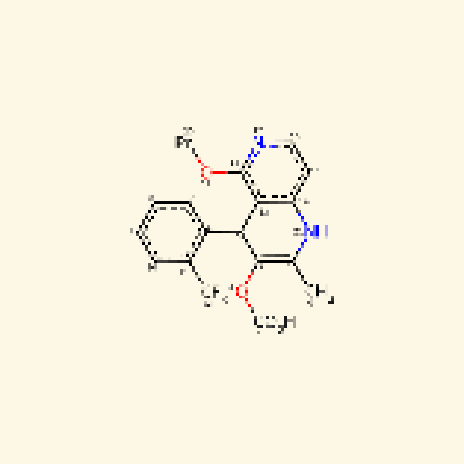 CC1=C(OC(=O)O)C(c2ccccc2C(F)(F)F)c2c(ccnc2OC(C)C)N1